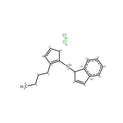 CCCCC1=[C]([Ti+2][CH]2C=Cc3ccccc32)CC=C1.[Cl-].[Cl-]